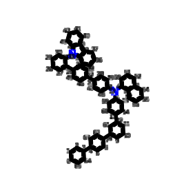 c1ccc(-c2ccc(-c3cccc(-c4ccc(N(c5ccc(-c6ccc(-c7ccccc7-n7c8ccccc8c8ccccc87)cc6)cc5)c5cccc6ccccc56)cc4)c3)cc2)cc1